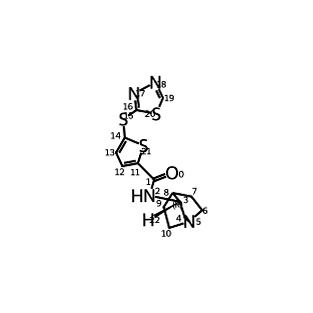 O=C(N[C@H]1CN2CCC1CC2)c1ccc(Sc2nncs2)s1